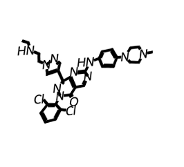 CCNCCn1cc(-c2nn(-c3c(Cl)cccc3Cl)c(=O)c3cnc(Nc4ccc(N5CCN(C)CC5)cc4)nc23)cn1